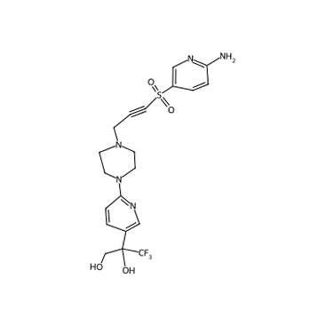 Nc1ccc(S(=O)(=O)C#CCN2CCN(c3ccc(C(O)(CO)C(F)(F)F)cn3)CC2)cn1